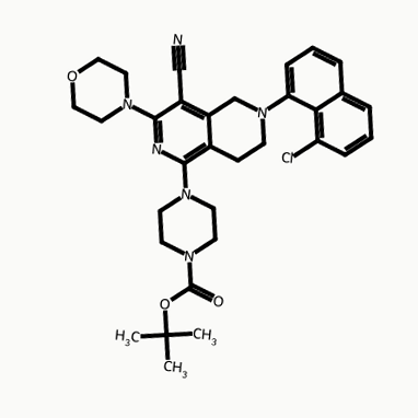 CC(C)(C)OC(=O)N1CCN(c2nc(N3CCOCC3)c(C#N)c3c2CCN(c2cccc4cccc(Cl)c24)C3)CC1